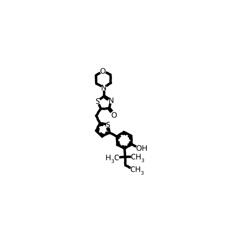 CCC(C)(C)c1cc(-c2ccc(CC3SC(N4CCOCC4)=NC3=O)s2)ccc1O